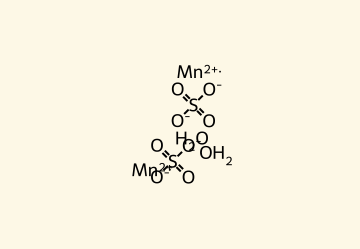 O.O.O=S(=O)([O-])[O-].O=S(=O)([O-])[O-].[Mn+2].[Mn+2]